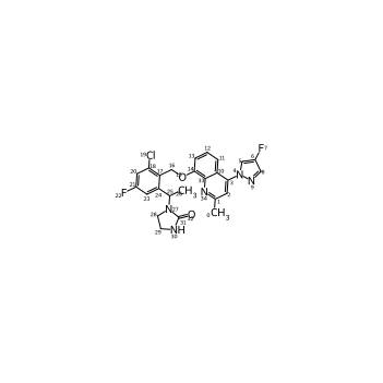 Cc1cc(-n2cc(F)cn2)c2cccc(OCc3c(Cl)cc(F)cc3C(C)N3CCNC3=O)c2n1